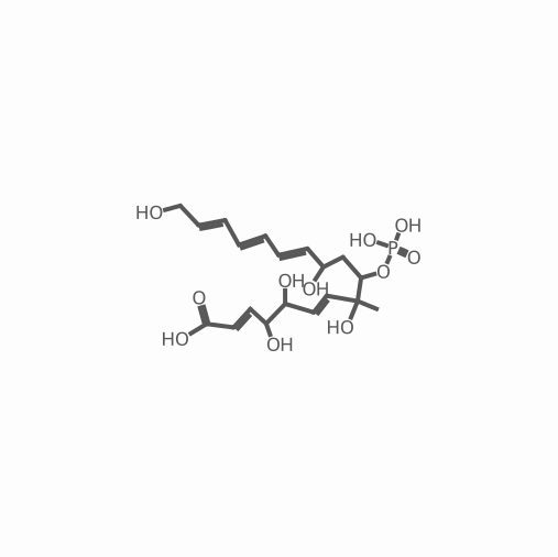 CC(O)(C=CC(O)C(O)C=CC(=O)O)C(CC(O)C=CC=CC=CCO)OP(=O)(O)O